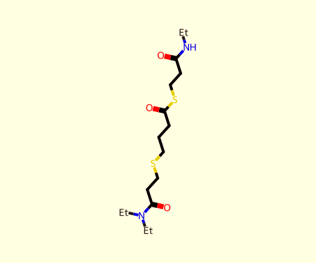 CCNC(=O)CCSC(=O)CCCSCCC(=O)N(CC)CC